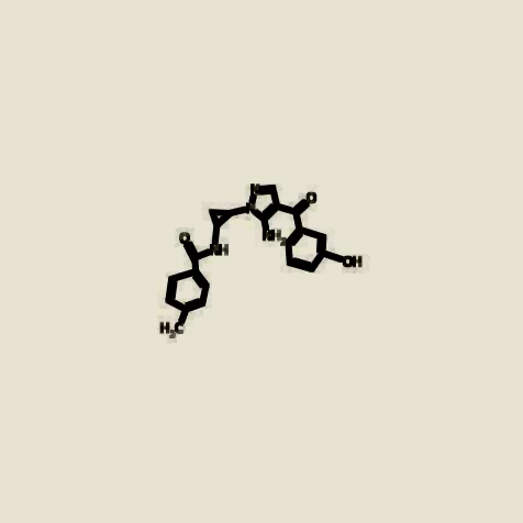 Cc1ccc(C(=O)NC2CC2n2ncc(C(=O)c3cccc(O)c3)c2N)cc1